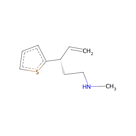 C=C[C@H](CCNC)c1cccs1